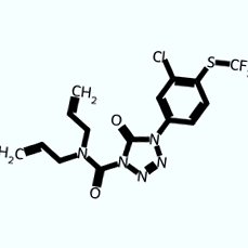 C=CCN(CC=C)C(=O)n1nnn(-c2ccc(SC(F)(F)F)c(Cl)c2)c1=O